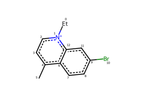 CC[n+]1ccc(C)c2ccc(Br)cc21